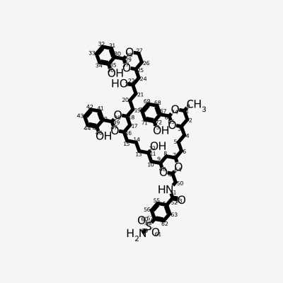 CC1CC(CCCC2CC(CC(O)CCCC3CC(CCCC(O)CC4CCOC(c5ccccc5O)O4)OC(c4ccccc4O)O3)OC(CNC(=O)c3ccc(S(N)(=O)=O)cc3)O2)OC(c2ccccc2O)O1